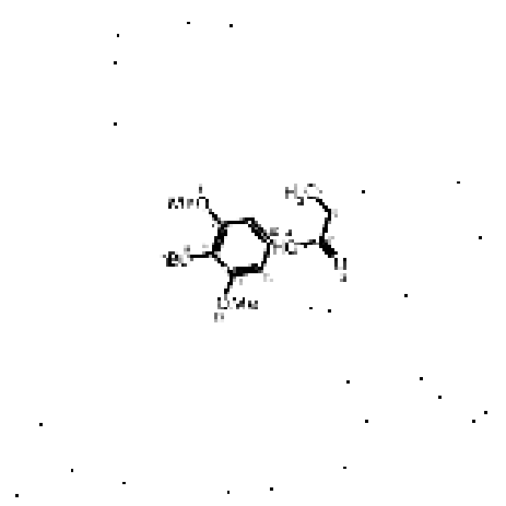 CCC(=O)O.CCCCc1c(OC)cccc1OC